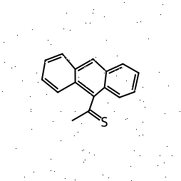 CC(=S)c1c2ccccc2cc2ccccc12